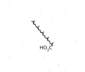 CC(C)=CCC/C(C)=C/CC/C(C)=C/CC/C(C)=C/CC/C(C)=C\C(=O)O